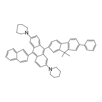 CC1(C)c2cc(-c3ccccc3)ccc2-c2ccc(-c3c4ccc(N5CCCCC5)cc4c(-c4ccc5ccccc5c4)c4ccc(N5CCCCC5)cc34)cc21